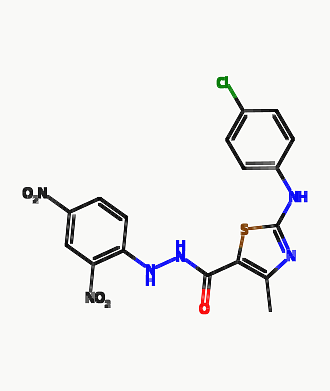 Cc1nc(Nc2ccc(Cl)cc2)sc1C(=O)NNc1ccc([N+](=O)[O-])cc1[N+](=O)[O-]